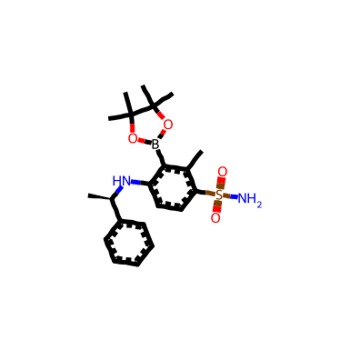 Cc1c(S(N)(=O)=O)ccc(N[C@H](C)c2ccccc2)c1B1OC(C)(C)C(C)(C)O1